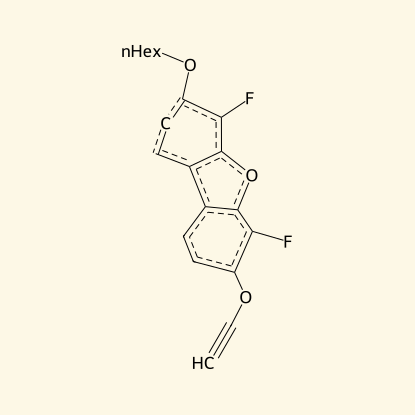 C#COc1ccc2c(oc3c(F)c(OCCCCCC)ccc32)c1F